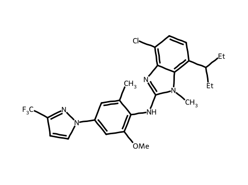 CCC(CC)c1ccc(Cl)c2nc(Nc3c(C)cc(-n4ccc(C(F)(F)F)n4)cc3OC)n(C)c12